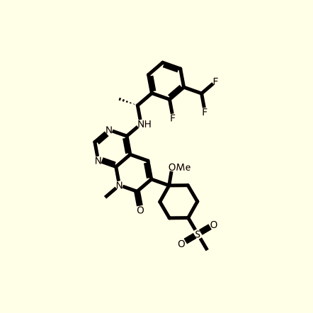 COC1(c2cc3c(N[C@H](C)c4cccc(C(F)F)c4F)ncnc3n(C)c2=O)CCC(S(C)(=O)=O)CC1